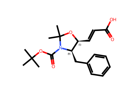 CC(C)(C)OC(=O)N1[C@H](Cc2ccccc2)[C@H](C=CC(=O)O)OC1(C)C